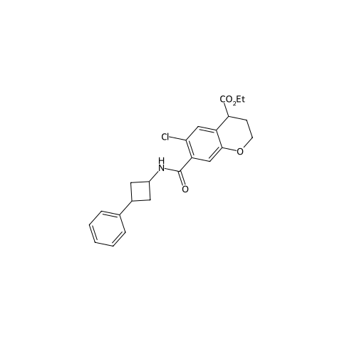 CCOC(=O)C1CCOc2cc(C(=O)NC3CC(c4ccccc4)C3)c(Cl)cc21